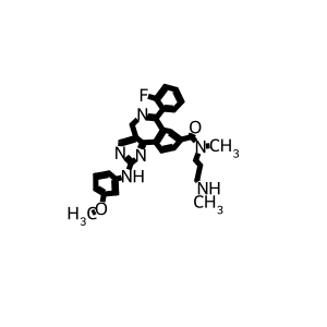 CNCCCN(C)C(=O)c1ccc2c(c1)C(c1ccccc1F)=NCc1cnc(Nc3cccc(OC)c3)nc1-2